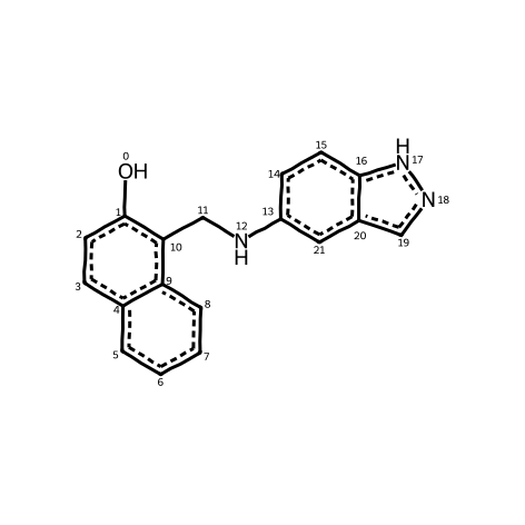 Oc1ccc2ccccc2c1CNc1ccc2[nH]ncc2c1